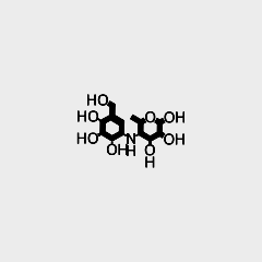 CC1OC(O)C(O)[C@@H](O)[C@@H]1N[C@H]1C=C(CO)[C@@H](O)[C@H](O)[C@H]1O